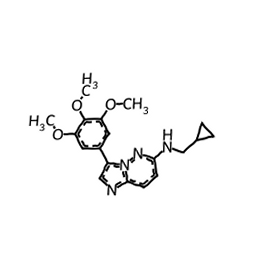 COc1cc(-c2cnc3ccc(NCC4CC4)nn23)cc(OC)c1OC